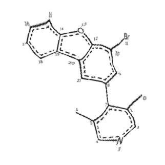 Cc1cncc(C)c1-c1cc(Br)c2oc3ccccc3c2c1